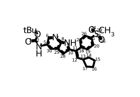 CC(C)(C)OC(=O)Nc1cnc2[nH]c(C(=CC3CCCC3)c3ccc(S(C)(=O)=O)cc3)cc2c1